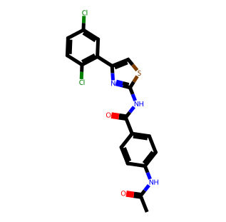 CC(=O)Nc1ccc(C(=O)Nc2nc(-c3cc(Cl)ccc3Cl)cs2)cc1